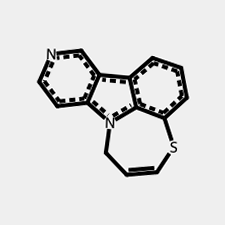 C1=CSc2cccc3c4cnccc4n(c23)C1